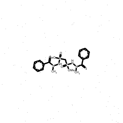 COP(=O)(CP(=O)(NN(C)C(=S)c1ccccc1)OC)NN(C)C(=S)c1ccccc1